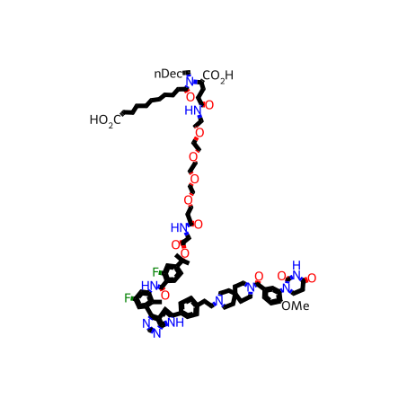 CCCCCCCCCCCN(C(=O)CCCCCCCCCC(=O)O)C(CCC(=O)NCCOCCOCCOCCOCCC(=O)NCC(=O)OC(C)(C)c1ccc(C(=O)Nc2cc(F)cc(-c3ncnc4[nH]c(-c5ccc(CCN6CCC7(CC6)CCN(C(=O)c6ccc(OC)c(N8CCC(=O)NC8=O)c6)CC7)cc5)cc34)c2C)c(F)c1)C(=O)O